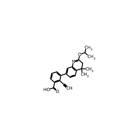 C#Cc1c(C(=O)O)cccc1-c1ccc2c(c1)N=C(OC(C)C)CC2(C)C